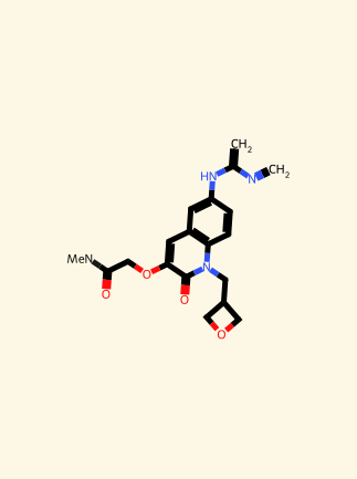 C=NC(=C)Nc1ccc2c(c1)cc(OCC(=O)NC)c(=O)n2CC1COC1